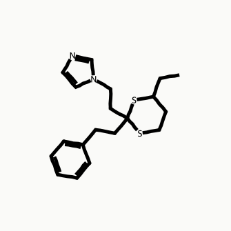 CCC1CCSC(CCc2ccccc2)(CCn2ccnc2)S1